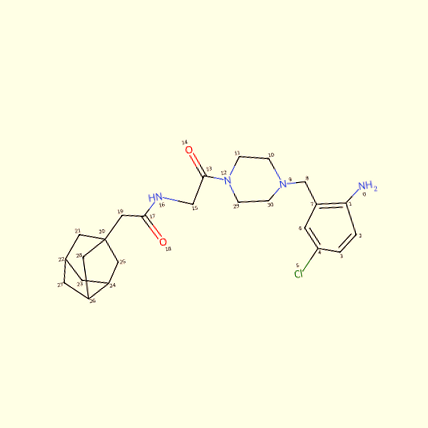 Nc1ccc(Cl)cc1CN1CCN(C(=O)CNC(=O)CC23CC4CC(C2)C(C4)C3)CC1